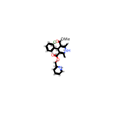 COC(=O)C1=C(C)NC(C)=C(C(=O)OCc2ccccn2)C1c1ccccc1Cl